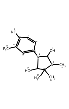 CN1C(O)N(c2ccc(C#N)c(C(F)(F)F)c2)C(O)C1(C)C